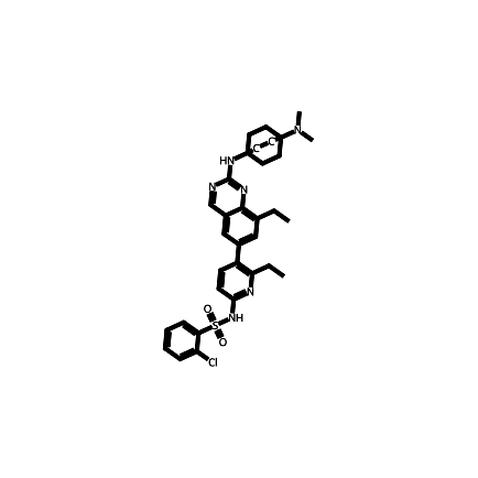 CCc1nc(NS(=O)(=O)c2ccccc2Cl)ccc1-c1cc(CC)c2nc(NC34CCC(N(C)C)(CC3)CC4)ncc2c1